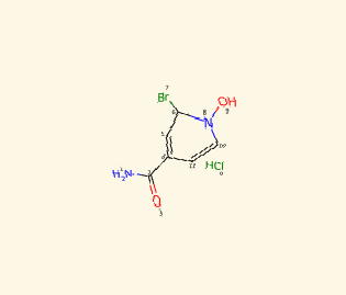 Cl.NC(=O)C1=CC(Br)N(O)C=C1